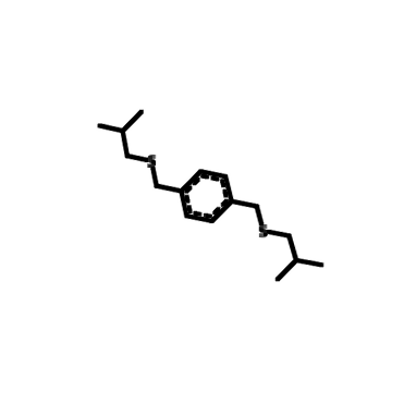 CC(C)CSCc1ccc(CSCC(C)C)cc1